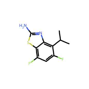 CC(C)c1c(F)cc(F)c2sc(N)nc12